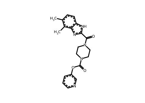 Cc1ccc2[nH]c(C(=O)N3CCN(C(=O)Oc4cccnc4)CC3)nc2c1C